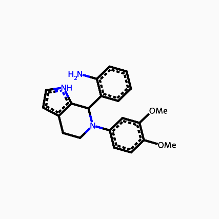 COc1ccc(N2CCc3cc[nH]c3C2c2ccccc2N)cc1OC